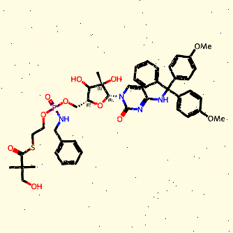 COc1ccc(C(Nc2ccn([C@@H]3O[C@H](COP(=O)(NCc4ccccc4)OCCSC(=O)C(C)(C)CO)C(O)[C@]3(C)O)c(=O)n2)(c2ccccc2)c2ccc(OC)cc2)cc1